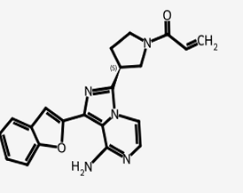 C=CC(=O)N1CC[C@H](c2nc(-c3cc4ccccc4o3)c3c(N)nccn23)C1